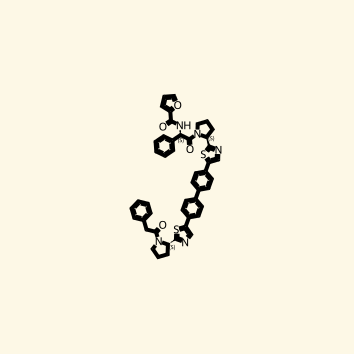 O=C(N[C@H](C(=O)N1CCC[C@H]1c1ncc(-c2ccc(-c3ccc(-c4cnc([C@@H]5CCCN5C(=O)Cc5ccccc5)s4)cc3)cc2)s1)c1ccccc1)c1ccco1